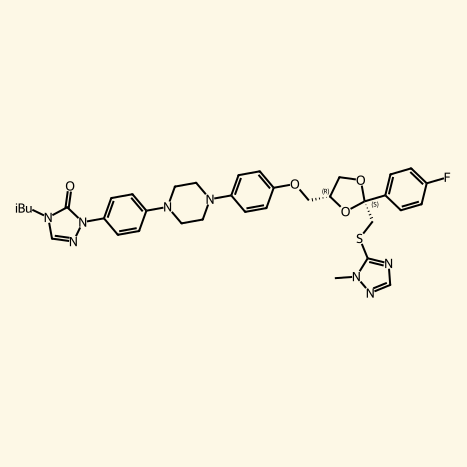 CCC(C)n1cnn(-c2ccc(N3CCN(c4ccc(OC[C@@H]5CO[C@@](CSc6ncnn6C)(c6ccc(F)cc6)O5)cc4)CC3)cc2)c1=O